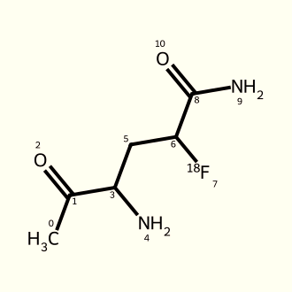 CC(=O)C(N)CC([18F])C(N)=O